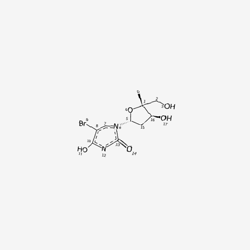 C[C@]1(CO)O[C@@H](n2cc(Br)c(O)nc2=O)C[C@@H]1O